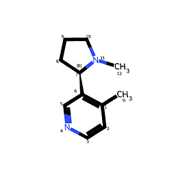 Cc1ccncc1[C@H]1CCCN1C